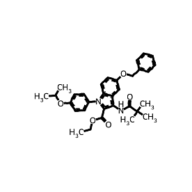 CCOC(=O)c1c(NC(=O)C(C)(C)C)c2cc(OCc3ccccc3)ccc2n1-c1ccc(OC(C)C)cc1